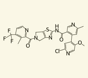 COc1cnc(Cl)cc1-c1cc(C)ncc1C(=O)Nc1nc2c(s1)CN(C(=O)c1nccc(C(F)(F)F)c1C)C2